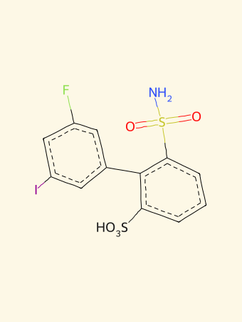 NS(=O)(=O)c1cccc(S(=O)(=O)O)c1-c1cc(F)cc(I)c1